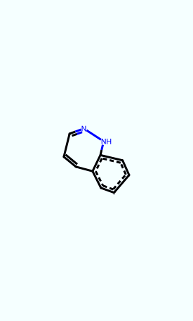 [c]1ccc2c(c1)C=CC=NN2